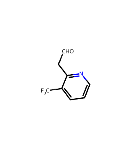 O=CCc1ncccc1C(F)(F)F